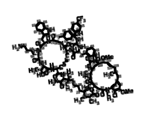 COc1cc2cc(c1Cl)N(C)C(=O)C[C@H](OC(=O)[C@H](C)N(C)C(=O)CCSSC(C)(C)[C@H](NC(=O)[C@@H]1CSSC[C@H](NC(=O)[C@@H](Cc3ccccc3)NC(=O)NCc3ccc(C(F)(F)F)cc3)C(=O)N[C@@H](Cc3ccc(O)cc3)C(=O)N[C@H](Cc3c[nH]c4ccccc34)C(=O)N[C@@H](CCCCN)C(=O)N[C@@H]([C@@H](C)O)C(=O)N1)C(N)=O)[C@]1(C)O[C@H]1[C@H](C)[C@@H]1C[C@@](O)(NC(=O)O1)[C@H](OC)/C=C/C=C(\C)C2